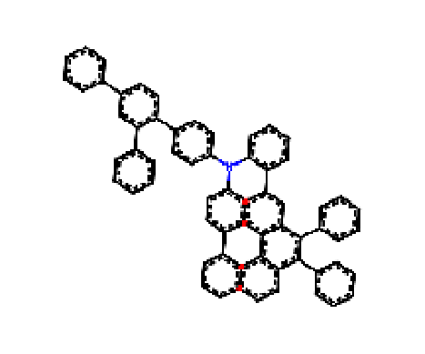 c1ccc(-c2ccc(N(c3ccc(-c4ccc(-c5ccccc5)cc4-c4ccccc4)cc3)c3ccccc3-c3ccc4c(c3)c(-c3ccccc3)c(-c3ccccc3)c3ccccc34)cc2)cc1